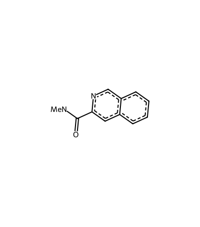 CNC(=O)c1cc2ccccc2cn1